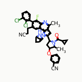 Cc1nc2c(F)c(-c3cccc(Cl)c3Cl)c(CCC#N)cc2c2c1cc(C1CC(Oc3cccc(C#N)c3)C(C)N1C(=O)C1CC1)n2C1C2CNC1C2